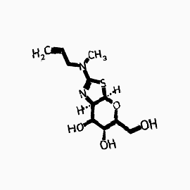 C=CCN(C)C1=N[C@@H]2C(O)[C@H](O)C(CO)O[C@@H]2S1